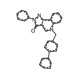 O=c1c2cn(Cc3ccc(-c4ccccc4)cc3)c3ccccc3c-2nn1-c1ccccc1